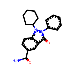 NC(=O)c1ccc2c(c1)c(=O)n(-c1ccccc1)n2C1CCCCC1